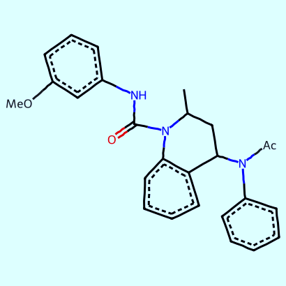 COc1cccc(NC(=O)N2c3ccccc3C(N(C(C)=O)c3ccccc3)CC2C)c1